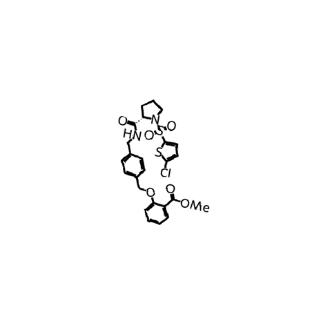 COC(=O)c1ccccc1OCc1ccc(CNC(=O)[C@@H]2CCCN2S(=O)(=O)c2ccc(Cl)s2)cc1